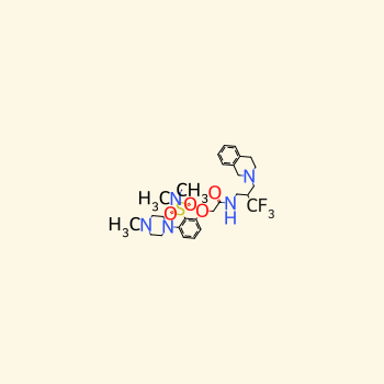 CN1CCN(c2cccc(OCC(=O)NCC(CN3CCc4ccccc4C3)C(F)(F)F)c2S(=O)(=O)N(C)C)CC1